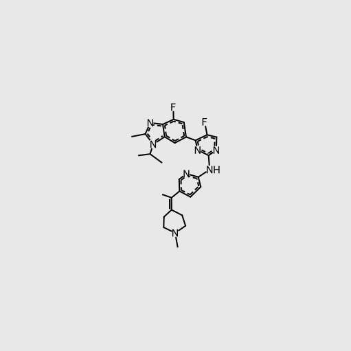 CC(=C1CCN(C)CC1)c1ccc(Nc2ncc(F)c(-c3cc(F)c4nc(C)n(C(C)C)c4c3)n2)nc1